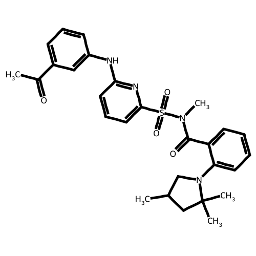 CC(=O)c1cccc(Nc2cccc(S(=O)(=O)N(C)C(=O)c3ccccc3N3CC(C)CC3(C)C)n2)c1